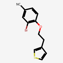 N#Cc1ccc(OCCc2ccsc2)c(Br)c1